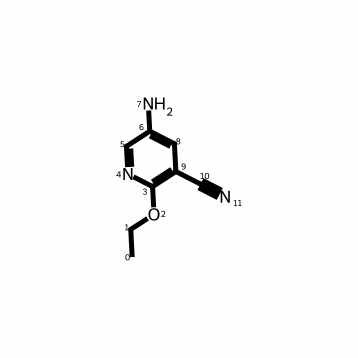 CCOc1ncc(N)cc1C#N